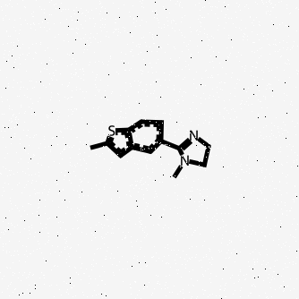 Cc1cc2cc(C3=NCCN3C)ccc2s1